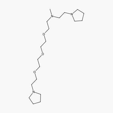 CN(CCOCCOCCOCCN1CCCC1)CCN1CCCC1